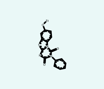 CCOc1ccc2c(c1)sc1nc(=O)n(-c3ccccc3)c(=O)n12